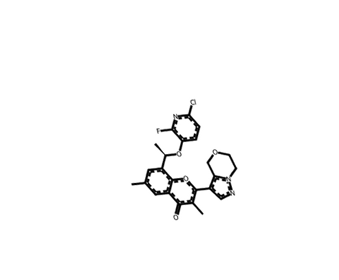 Cc1cc([C@@H](C)Oc2ccc(Cl)nc2F)c2oc(-c3cnn4c3COCC4)c(C)c(=O)c2c1